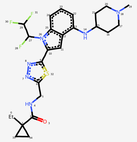 CCC1(C(=O)NCc2nnc(-c3cc4c(NC5CCN(C)CC5)cccc4n3C(F)C(F)F)s2)CC1